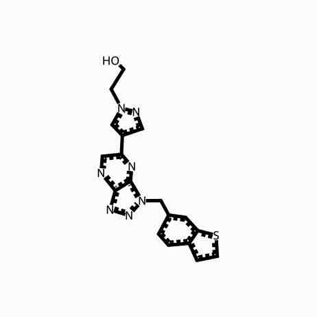 OCCn1cc(-c2cnc3nnn(Cc4ccc5ccsc5c4)c3n2)cn1